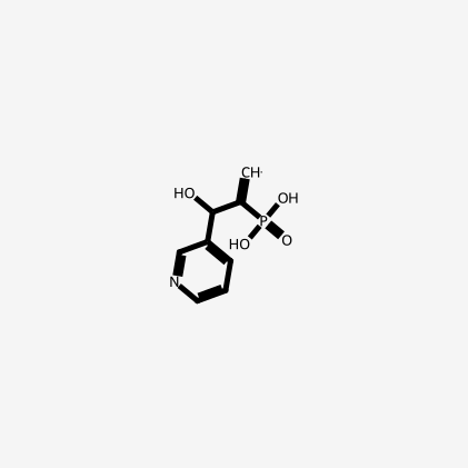 [CH]=C(C(O)c1cccnc1)P(=O)(O)O